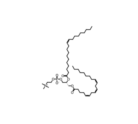 CCCCCCCC/C=C\C/C=C\C/C=C\CCCC(=O)OC[C@H](COP(=O)([O-])OCC[N+](C)(C)C)OC(=O)CCCCCCCCC/C=C\CCCCCCCC